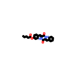 CCCCC(=O)Oc1ccc(C=c2[nH]c(=O)c(=Cc3ccccc3)[nH]c2=O)cc1